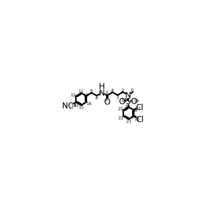 CN(CCCC(=O)NCCc1ccc(C#N)cc1)S(=O)(=O)c1cccc(Cl)c1Cl